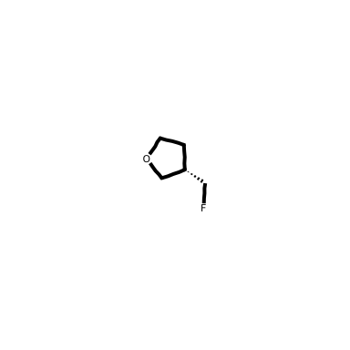 FC[C@H]1CCOC1